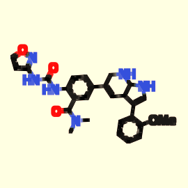 COc1ccccc1C1=CNC2NCC(c3ccc(NC(=O)Nc4ccon4)c(C(=O)N(C)C)c3)=CC12